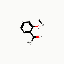 CCC.COC(=O)c1ccccc1O